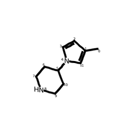 Cc1ccn(C2CCNCC2)c1